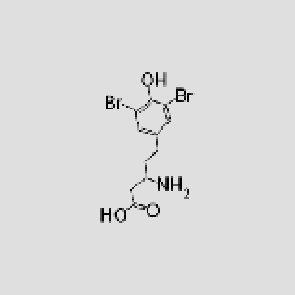 NC(CCc1cc(Br)c(O)c(Br)c1)CC(=O)O